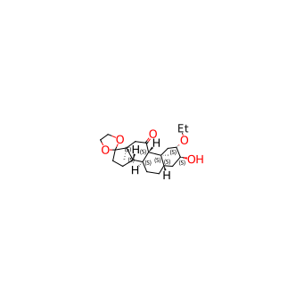 CCO[C@H]1C[C@@]2(C)[C@@H](CC[C@@H]3[C@@H]2C(=O)C[C@@]2(C)[C@H]3CCC23OCCO3)C[C@@H]1O